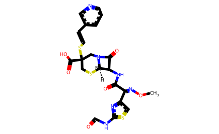 CON=C(C(=O)NC1C(=O)N2CC(SC=Cc3cccnc3)(C(=O)O)CS[C@H]12)c1csc(NC=O)n1